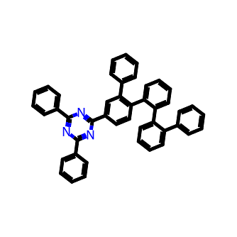 c1ccc(-c2nc(-c3ccccc3)nc(-c3ccc(-c4ccccc4-c4ccccc4-c4ccccc4)c(-c4ccccc4)c3)n2)cc1